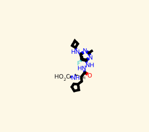 Cc1nc(NNC(=O)[C@@H](CNC(=O)O)CC2CCCC2)c(F)c(NC2CCC2)n1